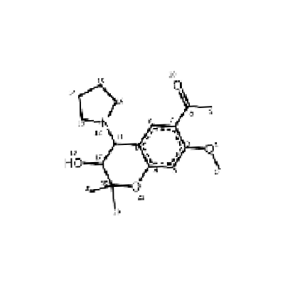 COc1cc2c(cc1C(C)=O)C(N1CCCC1)C(O)C(C)(C)O2